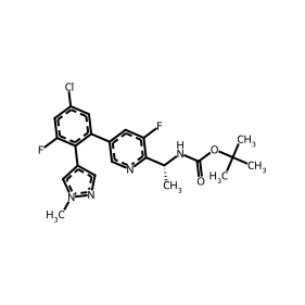 C[C@@H](NC(=O)OC(C)(C)C)c1ncc(-c2cc(Cl)cc(F)c2-c2cnn(C)c2)cc1F